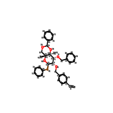 COc1ccc(CO[C@H]2[C@@H](OCc3ccccc3)[C@@H]3OC(c4ccccc4)OC[C@H]3O[C@@H]2Sc2ccccc2)cc1